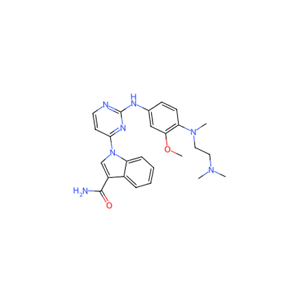 COc1cc(Nc2nccc(-n3cc(C(N)=O)c4ccccc43)n2)ccc1N(C)CCN(C)C